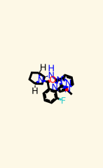 Cc1cnc(N[C@@H]2C[C@H]3CC[C@@H]2N3C(=O)c2cccc(F)c2-c2ncccn2)cn1